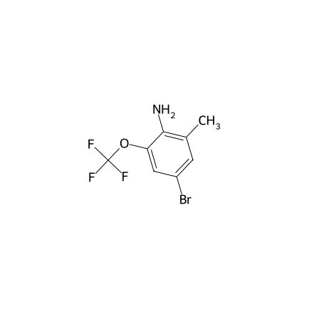 Cc1cc(Br)cc(OC(F)(F)F)c1N